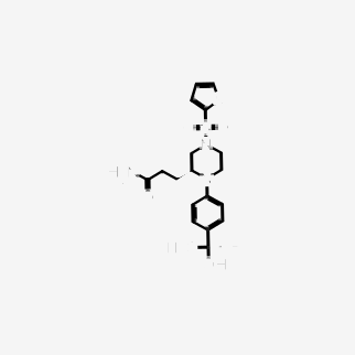 C[C@](O)(c1ccc(N2CCN(S(=O)(=O)c3cccs3)C[C@@H]2CCC(N)=O)cc1)C(F)(F)F